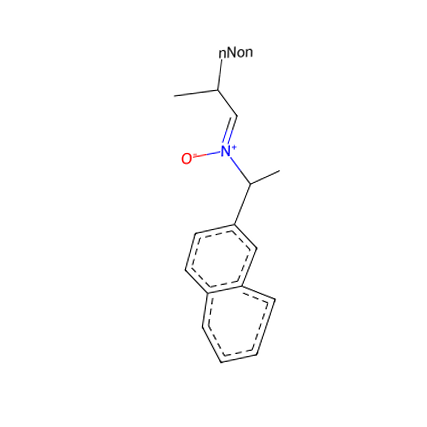 CCCCCCCCCC(C)C=[N+]([O-])C(C)c1ccc2ccccc2c1